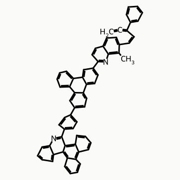 C=C=C(/C=C\c1ccc2ccc(-c3ccc4c5ccc(-c6ccc(-c7nc8ccccc8c8c9ccccc9c9ccccc9c78)cc6)cc5c5ccccc5c4c3)nc2c1C)c1ccccc1